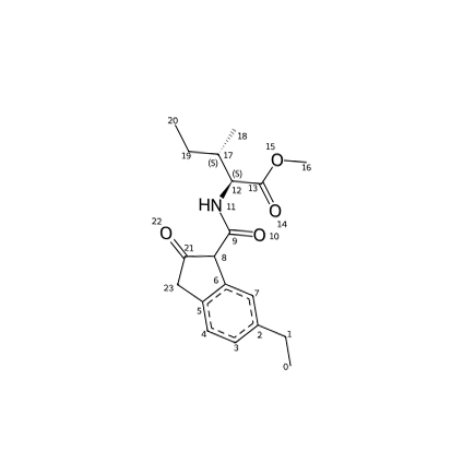 CCc1ccc2c(c1)C(C(=O)N[C@H](C(=O)OC)[C@@H](C)CC)C(=O)C2